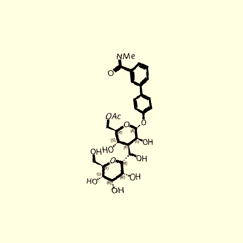 CNC(=O)c1cccc(-c2ccc(O[C@H]3O[C@H](COC(C)=O)[C@@H](O)[C@H](C(O)[C@H]4O[C@H](CO)[C@@H](O)[C@@H](O)[C@H]4O)[C@@H]3O)cc2)c1